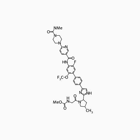 CNC(=O)N1CCN(c2ccc(C(=O)Nc3cc(OC(F)(F)F)c(-c4ccc(-c5c[nH]c(C6CC(C)CN6C(=O)CNC(=O)OC)n5)cc4)cc3F)cn2)CC1